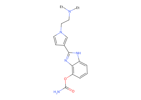 CCN(CC)CCn1ccc(-c2nc3c(OC(N)=O)cccc3[nH]2)c1